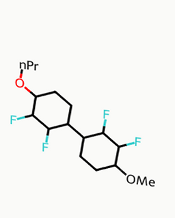 CCCOC1CCC(C2CCC(OC)C(F)C2F)C(F)C1F